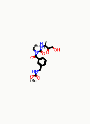 CCC(C)CN(C(=O)N[C@@H](C)C(=O)CO)C(=O)c1cccc(CNC(=O)OC(C)(C)C)c1